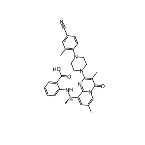 Cc1cc([C@@H](C)Nc2ccccc2C(=O)O)c2nc(N3CCN(c4ccc(C#N)cc4C)CC3)c(C)c(=O)n2c1